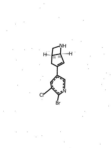 Clc1cc(C2=C[C@@H]3NC[C@@H]3C2)cnc1Br